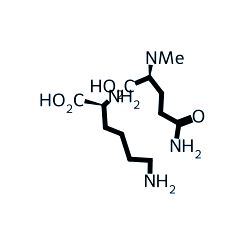 CN[C@@H](CCC(N)=O)C(=O)O.NCCCC[C@H](N)C(=O)O